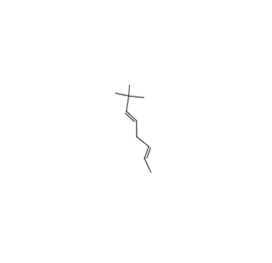 CC=CCC=CC(C)(C)C